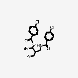 CC(C)CC(CNC(=O)c1ccc(Cl)cc1)C(OC(=O)c1ccc(Cl)cc1)C(C)C